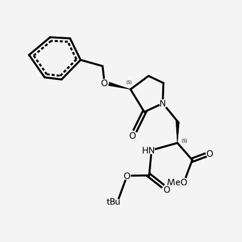 COC(=O)[C@H](CN1CC[C@H](OCc2ccccc2)C1=O)NC(=O)OC(C)(C)C